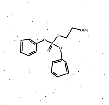 COCCOP(=O)(Oc1ccccc1)Oc1ccccc1